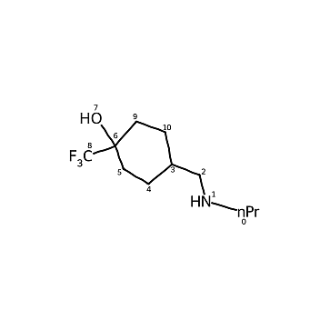 CCCNCC1CCC(O)(C(F)(F)F)CC1